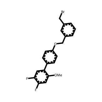 COc1cc(F)c(F)cc1-c1ccc(OCc2cccc(CBr)c2)cc1